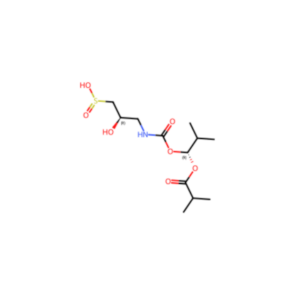 CC(C)C(=O)O[C@H](OC(=O)NC[C@@H](O)CS(=O)O)C(C)C